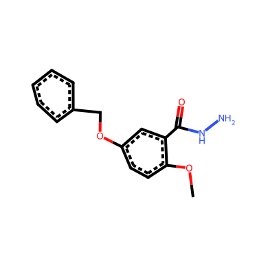 COc1ccc(OCc2ccccc2)cc1C(=O)NN